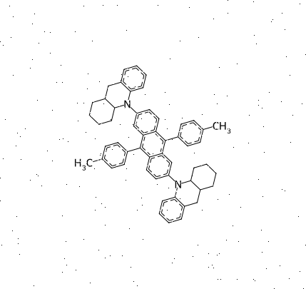 Cc1ccc(-c2c3ccc(N4c5ccccc5CC5CCCCC54)cc3c(-c3ccc(C)cc3)c3ccc(N4c5ccccc5CC5CCCCC54)cc23)cc1